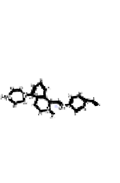 C=Cc1ccc(/N=C/C2c3cccc(N4CCNCC4)c3CCN2C)cc1